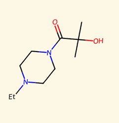 CCN1CCN(C(=O)C(C)(C)O)CC1